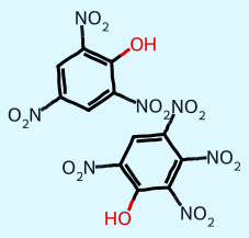 O=[N+]([O-])c1cc([N+](=O)[O-])c(O)c([N+](=O)[O-])c1.O=[N+]([O-])c1cc([N+](=O)[O-])c([N+](=O)[O-])c([N+](=O)[O-])c1O